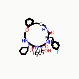 CC(O)[C@H]1C(=O)N[C@H](Cc2ccc(F)cc2)C(=O)NCCCc2ccccc2OCCN[C@@H](C2CCCCC2)C(=O)N1C